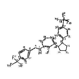 Fc1c(NCc2ccc(C(F)(F)F)nc2)ncnc1N1CCCC1c1ccc(C(F)(F)F)cc1